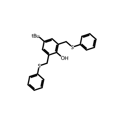 CC(C)(C)c1cc(CSc2ccccc2)c(O)c(CSc2ccccc2)c1